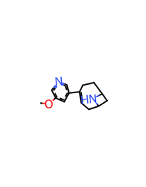 COc1cncc(C2=CCC3CC(CC2)N3)c1